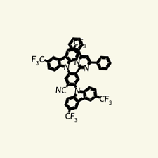 N#Cc1cc(-n2c3ccc(C(F)(F)F)cc3c3cc(C(F)(F)F)ccc32)c(-c2nc(-c3ccccc3)cc(-c3ccccc3)n2)cc1-n1c2ccc(C(F)(F)F)cc2c2cc(C(F)(F)F)ccc21